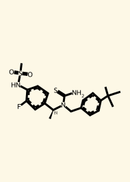 C[C@@H](c1ccc(NS(C)(=O)=O)c(F)c1)N(Cc1ccc(C(C)(C)C)cc1)C(N)=S